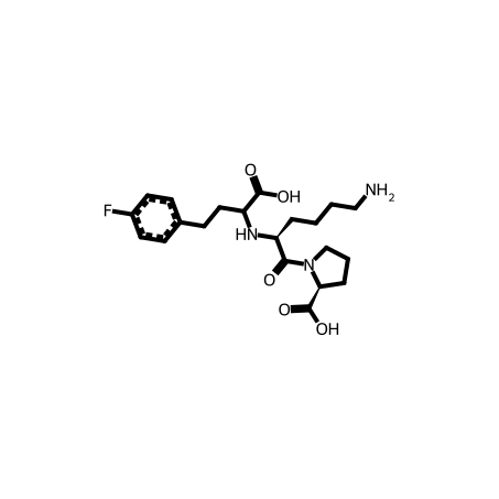 NCCCC[C@H](NC(CCc1ccc(F)cc1)C(=O)O)C(=O)N1CCC[C@H]1C(=O)O